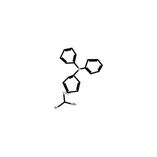 CCCCC(Br)C(=O)O.c1ccc(P(c2ccccc2)c2ccccc2)cc1